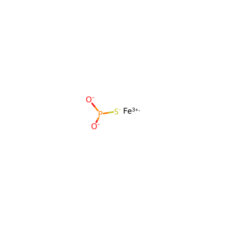 [Fe+3].[O-]P([O-])[S-]